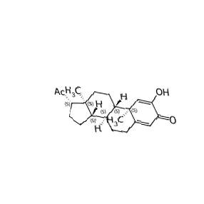 CC(=O)[C@H]1CC[C@H]2[C@@H]3CCC4=CC(=O)C(O)=C[C@]4(C)[C@H]3CC[C@]12C